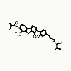 C=C(C)C(=O)OCCCc1ccc(-c2ccc3c(sc4c(C(F)(F)F)c(OC(=O)C(=C)C)ccc43)c2OC)cc1